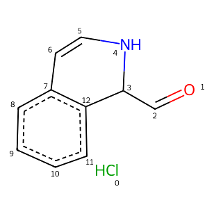 Cl.O=CC1NC=Cc2ccccc21